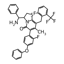 Cc1c(Cc2c(F)cccc2C(F)(F)F)c2n(c(=O)c1-c1ccc(Oc3ccccc3)cc1F)C(C(N)c1ccccc1)CS2